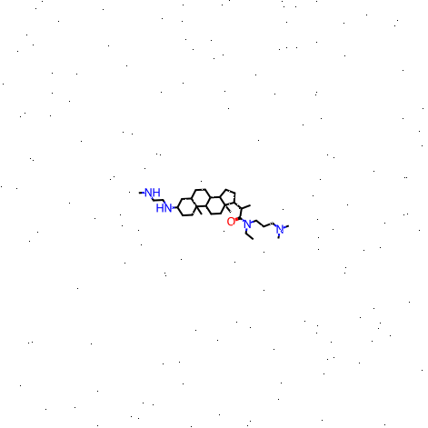 CCN(CCCN(C)C)C(=O)C(C)C1CCC2C3CCC4CC(NCCNC)CCC4(C)C3CCC12C